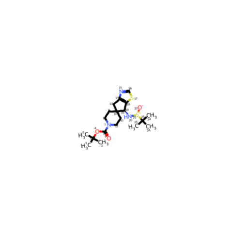 CC(C)(C)OC(=O)N1CCC2(CC1)Cc1ncsc1[C@H]2N[S+]([O-])C(C)(C)C